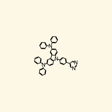 c1ccc(N(c2ccccc2)c2ccc3c(c2)c2cc(N(c4ccccc4)c4ccccc4)ccc2n3-c2ccc(-c3cncnc3)cc2)cc1